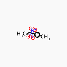 CCCC(c1ccc(C)cc1)([N+](=O)[O-])[N+](=O)[O-]